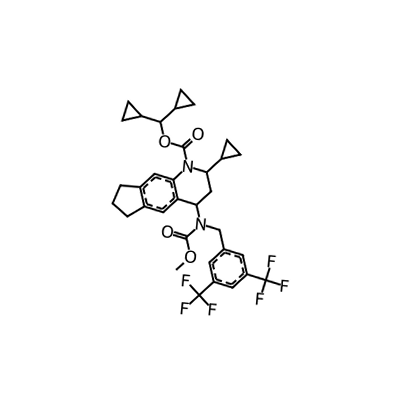 COC(=O)N(Cc1cc(C(F)(F)F)cc(C(F)(F)F)c1)C1CC(C2CC2)N(C(=O)OC(C2CC2)C2CC2)c2cc3c(cc21)CCC3